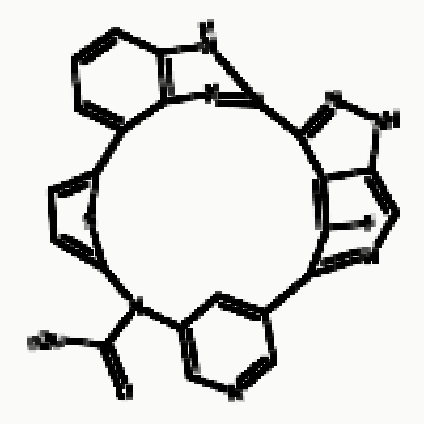 CCCCC(=O)n1c2cncc(c2)c2ncc3[nH]nc(c4nc5c(cccc5c5ccc1s5)[nH]4)c3c2F